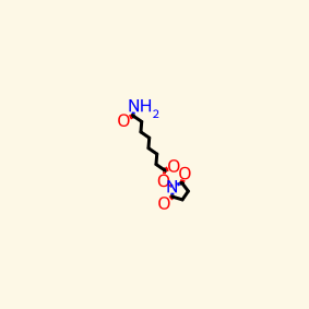 NC(=O)CCCCCCC(=O)ON1C(=O)CCC1=O